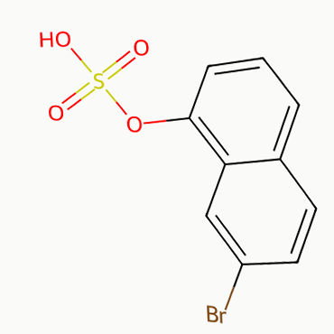 O=S(=O)(O)Oc1cccc2ccc(Br)cc12